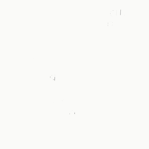 COCCCCC[Si]1(c2ccccc2)CCC(=O)CC1